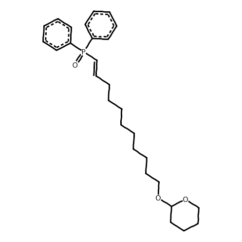 O=P(C=CCCCCCCCCCOC1CCCCO1)(c1ccccc1)c1ccccc1